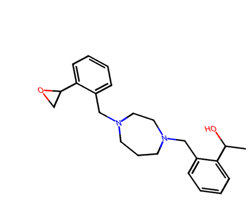 CC(O)c1ccccc1CN1CCCN(Cc2ccccc2C2CO2)CC1